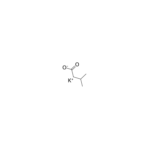 CC(C)CC(=O)[O-].[K+]